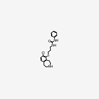 O=C(NCCCSc1c(Cl)ccc2c1CCNCC2)Nc1ccccc1